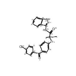 CC(C)(Oc1ccc(C(=O)c2ccc(Cl)cc2)cc1)C(=O)Nc1n[nH]c2ccccc12